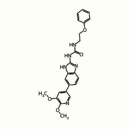 COc1cc(-c2ccc3nc(NC(=O)NCCOc4ccccc4)[nH]c3c2)cnc1OC